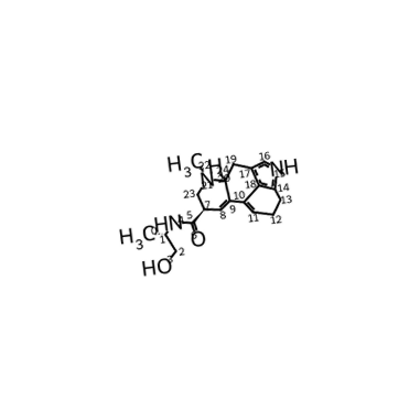 C[C@@H](CO)NC(=O)[C@@H]1C=C2C3=CCCc4[nH]cc(c43)C[C@H]2N(C)C1